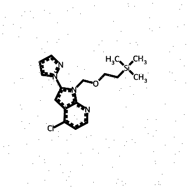 C[Si](C)(C)CCOCn1c(-n2cccn2)cc2c(Cl)ccnc21